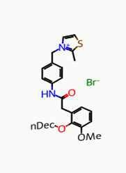 CCCCCCCCCCOc1c(CC(=O)Nc2ccc(C[n+]3ccsc3C)cc2)cccc1OC.[Br-]